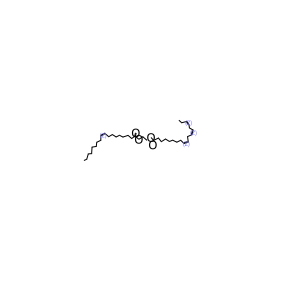 CC/C=C\C/C=C\C/C=C\CCCCCCCC(=O)OCCOC(=O)CCCCCCC/C=C\CCCCCCCC